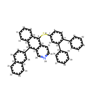 c1ccc(-c2ccc(Sc3c4ccccc4c(-c4ccc5ccccc5c4)c4cnccc34)cc2-c2ccccc2)cc1